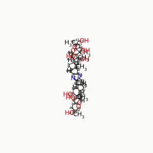 C[C@@H]1[C@]2(O[C@H]3C=C4[C@@H]5CC[C@H]6Cc7nc8c(nc7C[C@]6(C)[C@H]5C[C@@H](O)[C@]4(C)[C@]31O)C[C@@H]1CC[C@H]3C4=C[C@@H]5O[C@]6(CC[C@](C)(O)CO6)C[C@]5(O)[C@@]4(C)[C@H](O)C[C@@H]3[C@@]1(C)C8)O[C@](C)(CO)C[C@H]2O